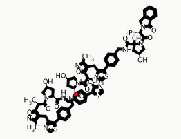 Cc1ncsc1-c1ccc(CNC(=O)[C@@H]2C[C@@H](O)CN2C(=O)[C@@H](C)c2onc(C)c2Cc2ncsc2-c2ccc(CNC(=O)[C@@H]3C[C@@H](O)CN3C(=O)[C@H](C)c3onc(C)c3Cc3ncsc3-c3ccc(CNC(=O)C4(C)C[C@@H](O)CN4C(=O)[C@H](C(C)C)N4Cc5ccccc5C4=O)cc3)cc2)cc1